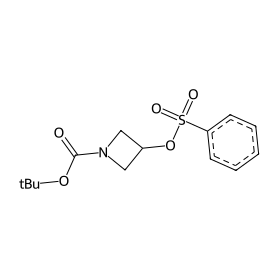 CC(C)(C)OC(=O)N1CC(OS(=O)(=O)c2ccccc2)C1